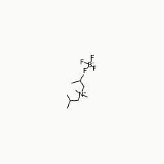 CC(C)C[N+](C)(C)CC(C)C.F[B-](F)(F)F